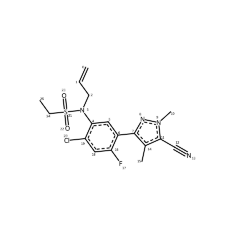 C=CCN(c1cc(-c2nn(C)c(C#N)c2C)c(F)cc1Cl)S(=O)(=O)CC